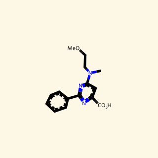 COCCN(C)c1cc(C(=O)O)nc(-c2ccccc2)n1